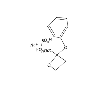 CCCCCCCCC1(Oc2ccccc2)CCO1.O=S(=O)(O)O.[NaH]